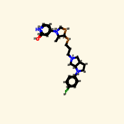 CC1C(SCCCN2CC3CCN(c4ccc(F)cc4)C3C2)SCN1c1cc[nH]c(=O)c1